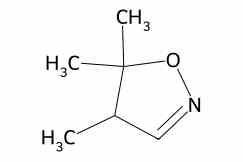 CC1C=NOC1(C)C